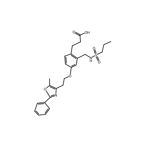 CCCS(=O)(=O)NCc1cc(OCCc2nc(-c3ccccc3)oc2C)ccc1CCC(=O)O